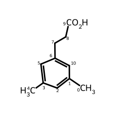 Cc1cc(C)cc(CCC(=O)O)c1